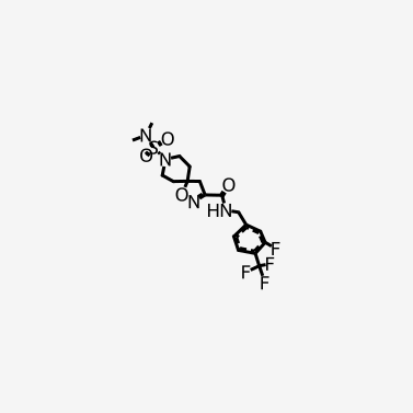 CN(C)S(=O)(=O)N1CCC2(CC1)CC(C(=O)NCc1ccc(C(F)(F)F)c(F)c1)=NO2